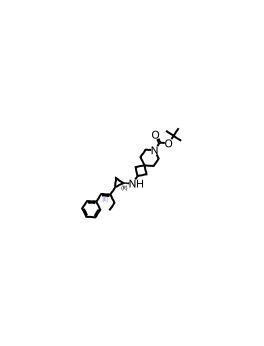 CC/C(=C\c1ccccc1)C1C[C@H]1NC1CC2(CCN(C(=O)OC(C)(C)C)CC2)C1